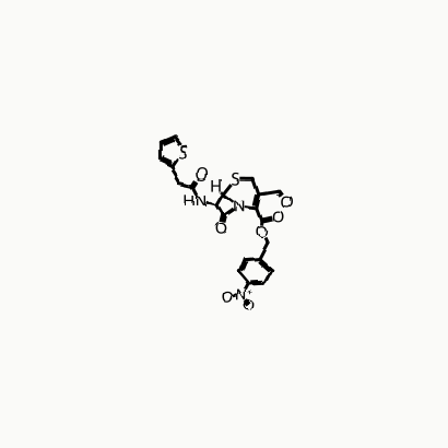 O=CC1=C(C(=O)OCc2ccc([N+](=O)[O-])cc2)N2C(=O)[C@@H](NC(=O)Cc3cccs3)[C@@H]2SC1